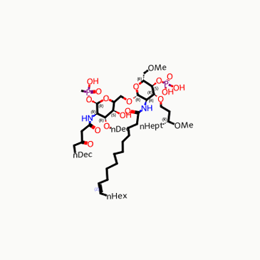 CCCCCC/C=C\CCCCCCCCCC(=O)N[C@H]1[C@H](OCC2O[C@H](OP(C)(=O)O)[C@H](NC(=O)CC(=O)CCCCCCCCCCC)[C@@H](OCCCCCCCCCC)[C@@H]2O)O[C@H](COC)[C@@H](OP(=O)(O)O)[C@@H]1OCC[C@@H](CCCCCCC)OC